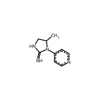 CC1CNC(=N)N1c1ccncc1